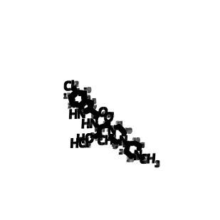 C[C@@H](O)[C@@H](NC(=O)c1cc2cc(Cl)ccc2[nH]1)C(=O)N1CCN(C2CCN(C)CC2)CC1.Cl